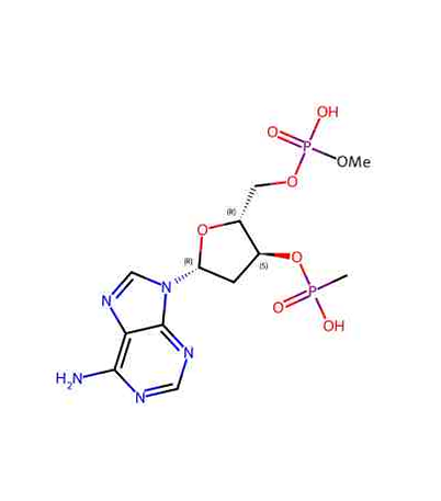 COP(=O)(O)OC[C@H]1O[C@@H](n2cnc3c(N)ncnc32)C[C@@H]1OP(C)(=O)O